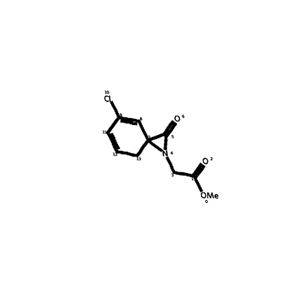 COC(=O)CN1C(=O)C12C=C(Cl)C=CC2